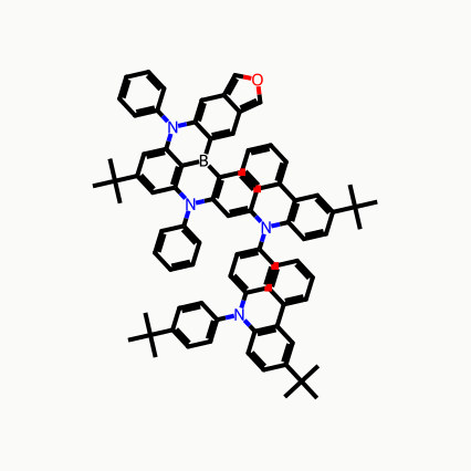 CC(C)(C)c1ccc(N(c2ccc(N(c3ccc4c(c3)N(c3ccccc3)c3cc(C(C)(C)C)cc5c3B4c3cc4cocc4cc3N5c3ccccc3)c3ccc(C(C)(C)C)cc3-c3ccccc3)cc2)c2ccc(C(C)(C)C)cc2-c2ccccc2)cc1